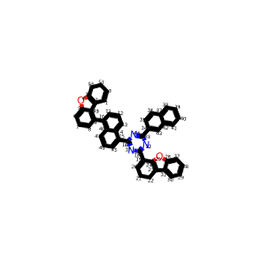 C1=Cc2c(oc3cccc(-c4cccc5c(-c6nc(C7=CCCc8c7oc7ccccc87)nc(-c7ccc8ccccc8c7)n6)cccc45)c23)CC1